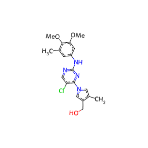 COc1cc(Nc2ncc(Cl)c(-n3cc(C)c(CO)c3)n2)cc(C)c1OC